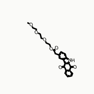 COCCOCCOCCOC(=O)Cc1ccc2[nH]c3c(c2c1)C(=O)c1ccccc1C3=O